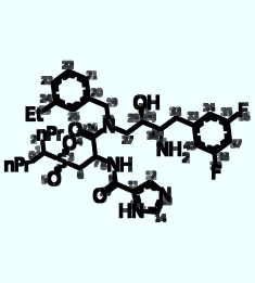 CCCC(CCC)S(=O)(=O)CC(NC(=O)c1cnc[nH]1)C(=O)N(Cc1cccc(CC)c1)C[C@@H](O)[C@@H](N)Cc1cc(F)cc(F)c1